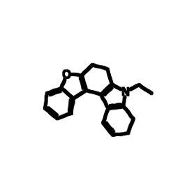 CCn1c2c(c3c1CCc1oc4ccccc4c1-3)C=CCC2